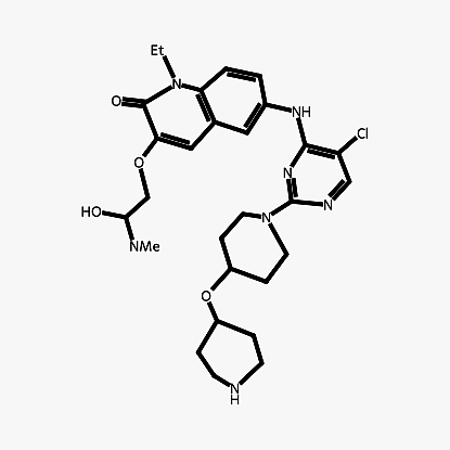 CCn1c(=O)c(OCC(O)NC)cc2cc(Nc3nc(N4CCC(OC5CCNCC5)CC4)ncc3Cl)ccc21